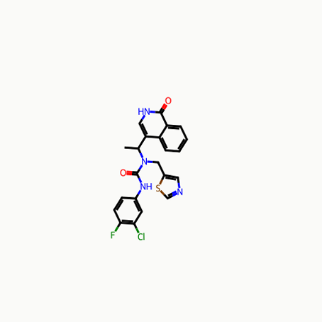 CC(c1c[nH]c(=O)c2ccccc12)N(Cc1cncs1)C(=O)Nc1ccc(F)c(Cl)c1